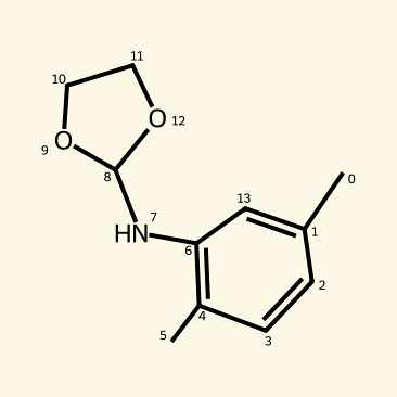 Cc1ccc(C)c(NC2OCCO2)c1